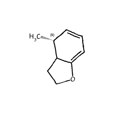 C[C@@H]1C=CC=C2OCCC21